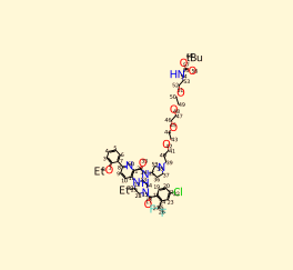 CCOc1ccccc1-c1ccc(N2CCN(C(=O)c3ccc(Cl)cc3C(F)F)C[C@H]2CC)c(C(=O)N[C@@H]2CCN(CCCOCCOCCOCCOCCNC(=O)OC(C)(C)C)C2)n1